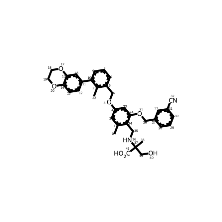 Cc1cc(OCc2cccc(-c3ccc4c(c3)OCCO4)c2C)cc(OCc2cccc(C#N)c2)c1CNC(C)(CO)C(=O)O